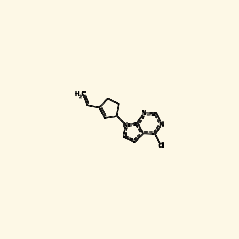 C=CC1=CC(n2ccc3c(Cl)ncnc32)CC1